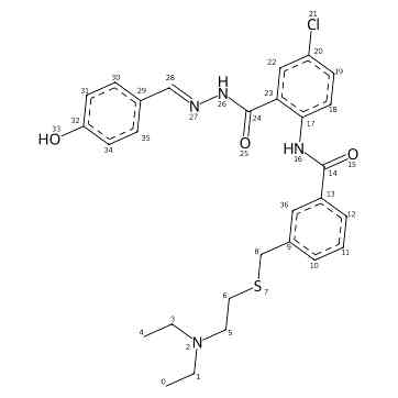 CCN(CC)CCSCc1cccc(C(=O)Nc2ccc(Cl)cc2C(=O)NN=Cc2ccc(O)cc2)c1